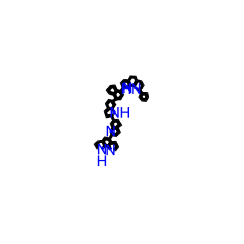 C1=Cc2cc(-c3ccc4ccc(C5=CC=C6C=CC(c7ccc(-c8ccc9c(n8)C8=C(C=CC(c%10ccccc%10)N8)CC9)c8ccccc78)=CC6N5)cc4n3)c3cccnc3c2NC1